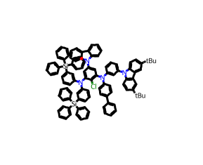 CC(C)(C)c1ccc2c(c1)c1cc(C(C)(C)C)ccc1n2-c1cccc(N(c2ccc(-c3ccccc3)cc2)c2cc(-n3c4ccccc4c4ccccc43)cc(N(c3cccc([Si](c4ccccc4)(c4ccccc4)c4ccccc4)c3)c3cccc([Si](c4ccccc4)(c4ccccc4)c4ccccc4)c3)c2Cl)c1